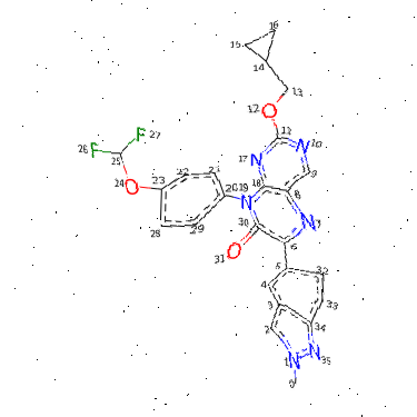 Cn1cc2cc(-c3nc4cnc(OCC5CC5)nc4n(-c4ccc(OC(F)F)cc4)c3=O)ccc2n1